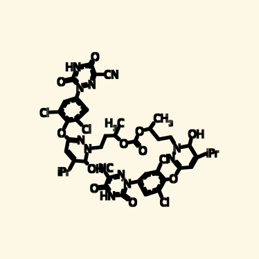 CC(CCN1N=C(Oc2c(Cl)cc(-n3nc(C#N)c(=O)[nH]c3=O)cc2Cl)C=C(C(C)C)C1O)OC(=O)OC(C)CCN1N=C(Oc2c(Cl)cc(-n3nc(C#N)c(=O)[nH]c3=O)cc2Cl)C=C(C(C)C)C1O